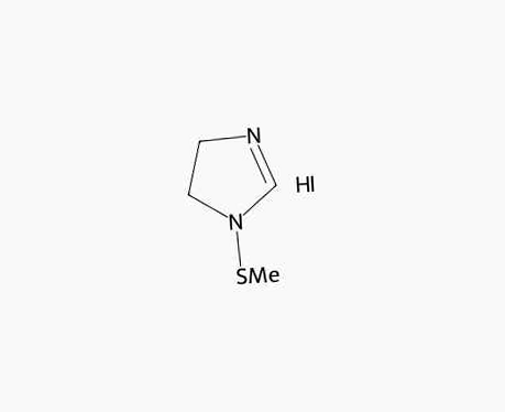 CSN1C=NCC1.I